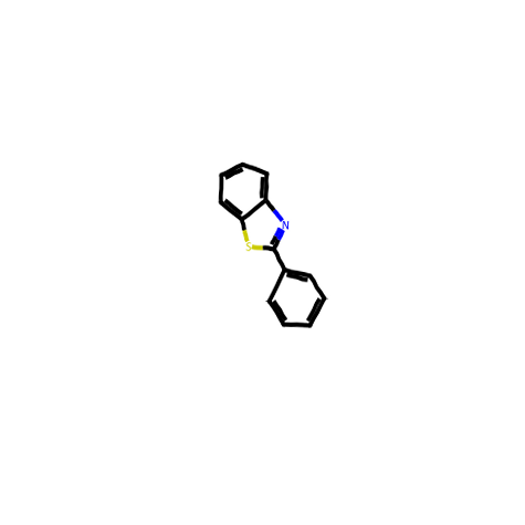 [c]1cc[c]c(-c2nc3ccccc3s2)c1